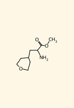 COC(=O)C(N)CC1CCOCC1